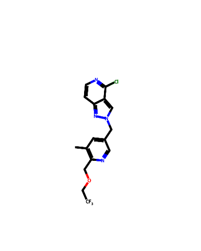 Cc1cc(Cn2cc3c(Cl)nccc3n2)cnc1COCC(F)(F)F